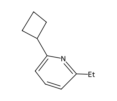 CCc1cccc(C2CCC2)n1